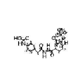 O=C(O)Nc1ccc(CC(=O)NNC(=O)[C@@H]2CC[C@@H]3CN2C(=O)N3OS(=O)(=O)O)cc1